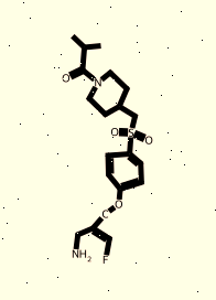 CC(C)C(=O)N1CCC(CS(=O)(=O)c2ccc(OCC(=CF)CN)cc2)CC1